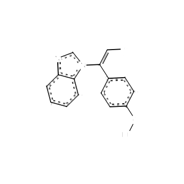 CCOc1ccc(C(=CBr)n2cnc3ccccc32)cc1